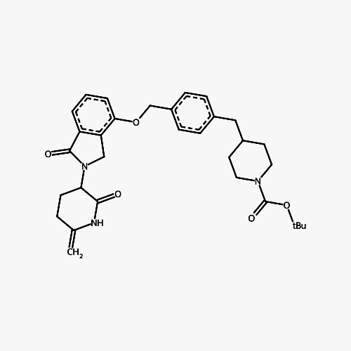 C=C1CCC(N2Cc3c(OCc4ccc(CC5CCN(C(=O)OC(C)(C)C)CC5)cc4)cccc3C2=O)C(=O)N1